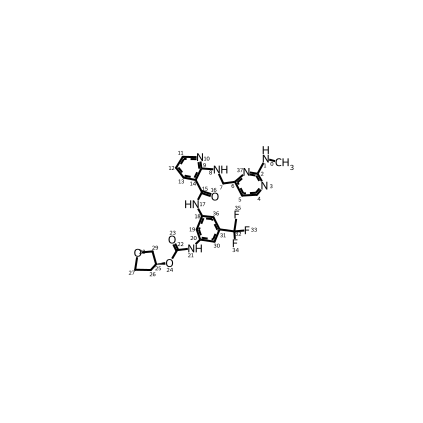 CNc1nccc(CNc2ncccc2C(=O)Nc2cc(NC(=O)O[C@H]3CCOC3)cc(C(F)(F)F)c2)n1